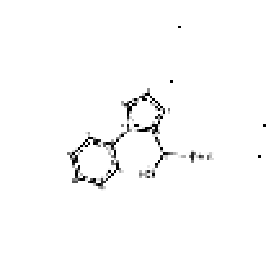 CCCCCC(O)c1cccn1-c1ccccc1